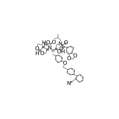 CC(C)CN(C[C@@H](O)[C@H](Cc1ccc(OCc2ccc(-c3ccccc3C#N)cc2)cc1)N(C(=O)O)[C@H]1CO[C@H]2OCC[C@H]21)S(=O)(=O)c1ccc2c(c1)OCO2